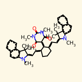 CN1C(=O)C(=C2/C(=C/C=C3/N(C)c4ccc5ccccc5c4C3(C)C)CCC/C2=C\C=C2\N(C)c3ccc4ccccc4c3C2(C)C)C(=O)N(C)C1=O